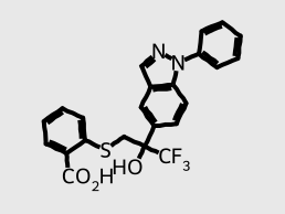 O=C(O)c1ccccc1SCC(O)(c1ccc2c(cnn2-c2ccccc2)c1)C(F)(F)F